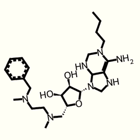 CCCCN1CNC2C(=C1N)NCN2[C@@H]1O[C@H](CN(C)CCN(C)Cc2ccccc2)[C@@H](O)[C@H]1O